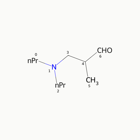 CCCN(CCC)CC(C)C=O